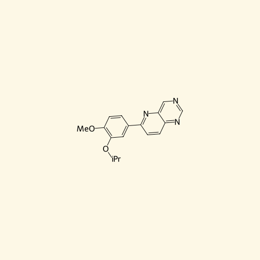 COc1ccc(-c2ccc3ncncc3n2)cc1OC(C)C